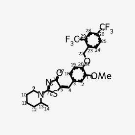 COc1cc(C=C2SC(N3CCCCC3C)=NC2=O)ccc1OCc1ccc(C(F)(F)F)cc1C(F)(F)F